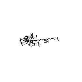 CCCCCCCC(O)CCCCCC/C=C/[C@H](C(=O)N[C@@H](Cc1ccc(O)cc1)C(=O)O)[C@@](O)(CC(=O)OC(C)(C)C)C(=O)OC(C)(C)C